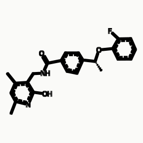 Cc1cc(C)c(CNC(=O)c2ccc([C@@H](C)Oc3ccccc3F)cc2)c(O)n1